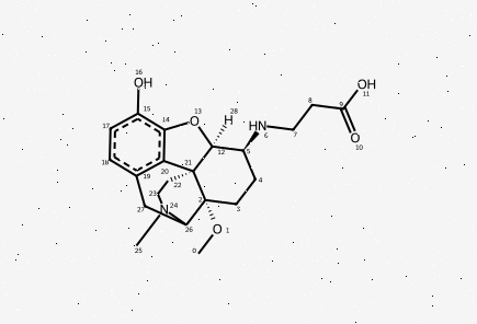 CO[C@@]12CC[C@H](NCCC(=O)O)[C@@H]3Oc4c(O)ccc5c4[C@@]31CCN(C)C2C5